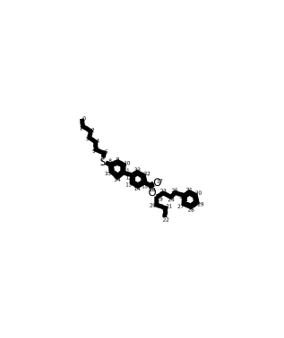 CCCCCCCSc1ccc(-c2ccc(C(=O)OC(CCC)CCCc3ccccc3)cc2)cc1